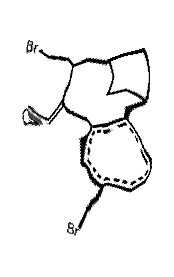 O=C1c2cc(Br)ccc2C2CC(C2)C1Br